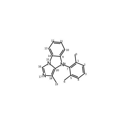 Cc1cccc(C)c1-n1c2ccccc2n2cnc(C)c12